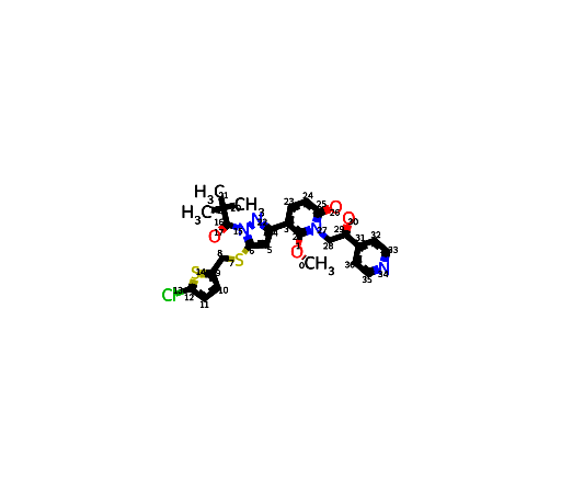 COc1c(-c2cc(SCc3ccc(Cl)s3)n(C(=O)C(C)(C)C)n2)ccc(=O)n1CC(=O)c1ccncc1